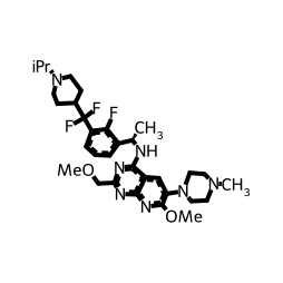 COCc1nc(N[C@H](C)c2cccc(C(F)(F)C3CCN(C(C)C)CC3)c2F)c2cc(N3CCN(C)CC3)c(OC)nc2n1